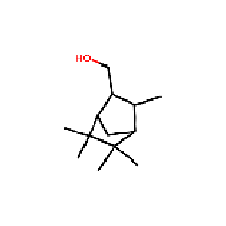 CC1C(CO)C2CC1C(C)(C)C2(C)C